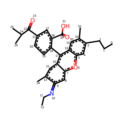 CCCc1cc2oc3c/c(=N/CC)c(C)cc-3c(-c3ccc(C(=O)C(C)C)cc3C(=O)O)c2cc1C